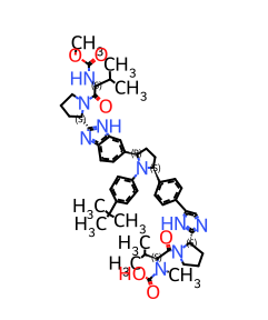 COC(=O)N[C@H](C(=O)N1CCC[C@H]1c1nc2ccc([C@H]3CC[C@@H](c4ccc(-c5cnc([C@@H]6CCCN6C(=O)[C@H](C(C)C)N(C)C(=O)O)[nH]5)cc4)N3c3ccc(C(C)(C)C)cc3)cc2[nH]1)C(C)C